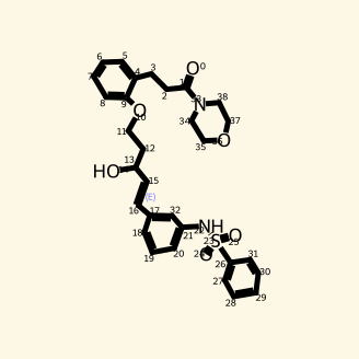 O=C(CCc1ccccc1OCCC(O)/C=C/c1cccc(NS(=O)(=O)c2ccccc2)c1)N1CCOCC1